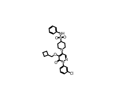 O=c1c(OCC2CCC2)c(N2CCC(S(=O)(=O)Nc3ccccc3)CC2)cnn1-c1cccc(Cl)c1